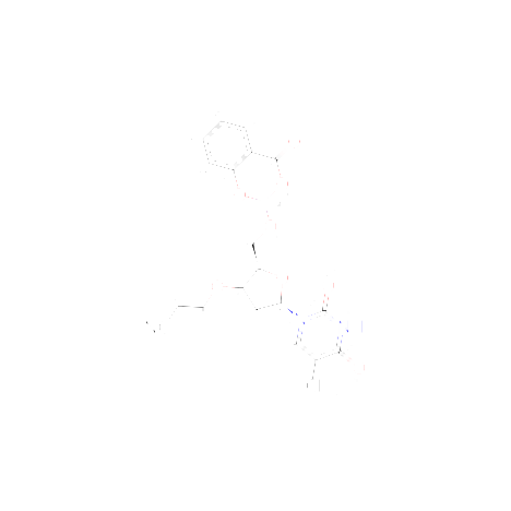 Cc1cn([C@H]2CC(OCCC#N)[C@@H](COP3OC(=O)c4ccccc4O3)O2)c(=O)[nH]c1=O